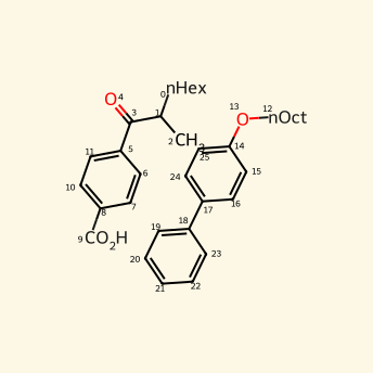 CCCCCCC(C)C(=O)c1ccc(C(=O)O)cc1.CCCCCCCCOc1ccc(-c2ccccc2)cc1